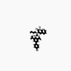 CCCCN(C(=O)Nc1c(C(C)C)cc(-c2ccc(Br)cc2)cc1C(C)C)c1cc2cccnc2[nH]c1=O